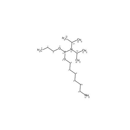 CCCOP(OCCCCCCN)N(C(C)C)C(C)C